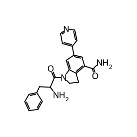 NC(=O)c1cc(-c2ccncc2)cc2c1CCN2C(=O)C(N)Cc1ccccc1